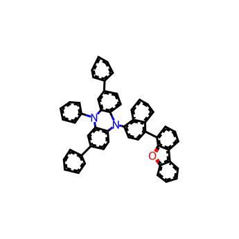 c1ccc(-c2ccc3c(c2)N(c2ccccc2)c2cc(-c4ccccc4)ccc2N3c2ccc(-c3cccc4c3oc3ccccc34)c3ccccc23)cc1